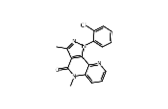 Cc1nn(-c2ccccc2Cl)c2c1c(=O)n(C)c1cccnc21